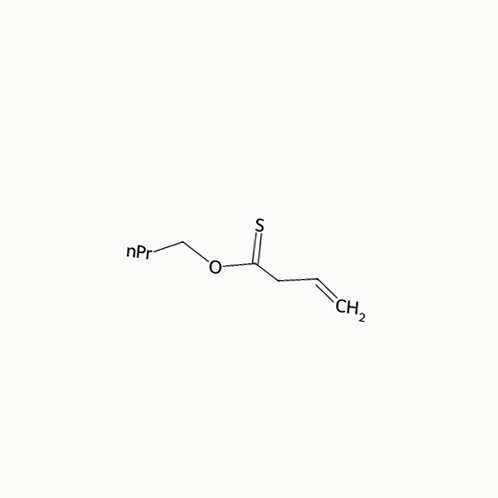 C=CCC(=S)OCCCC